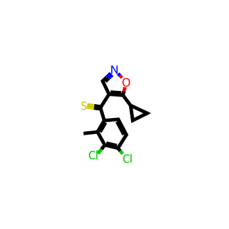 Cc1c(C(=S)c2cnoc2C2CC2)ccc(Cl)c1Cl